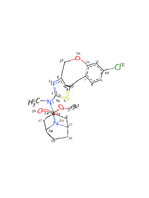 CN(c1nc2c(s1)-c1ccc(Cl)cc1OC2)C1CC2CCC(C1)N2C(=O)OC(C)(C)C